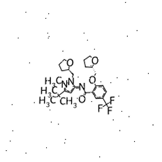 Cn1c(C(C)(C)C)c/c(=N\C(=O)c2cc(C(F)(F)F)ccc2OC[C@@H]2CCCO2)n1C[C@H]1CCCO1